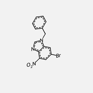 O=[N+]([O-])c1cc(Br)cc2c1ncn2Cc1ccccc1